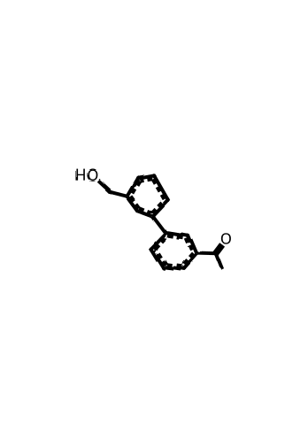 CC(=O)c1cccc(-c2cccc(CO)c2)c1